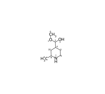 COC(O)C1CCNC(C)C1